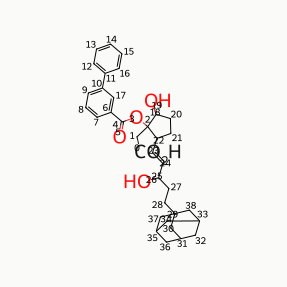 O=C(O)CC1(OC(=O)c2cccc(-c3ccccc3)c2)C(O)CCC1C=CC(O)CCC12CC3CC(CC(C3)C1)C2